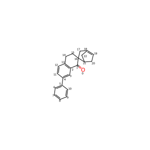 O=C1c2cc(-c3ccccc3)ccc2CCC12CC1=CCC2C1